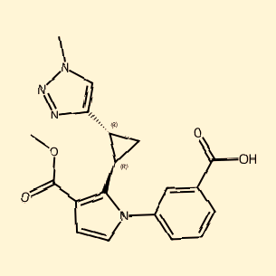 COC(=O)c1ccn(-c2cccc(C(=O)O)c2)c1[C@@H]1C[C@H]1c1cn(C)nn1